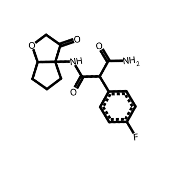 NC(=O)C(C(=O)NC12CCCC1OCC2=O)c1ccc(F)cc1